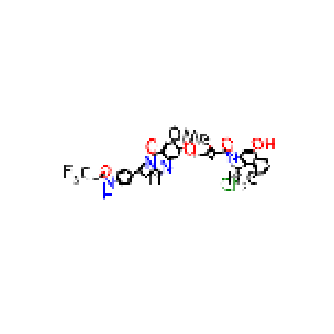 COc1cc2c(cc1OCC13CC(C(=O)N4C[C@@H](CCl)c5c4cc(O)c4cccc(C)c54)(C1)C3)N=C[C@@H]1CC(c3ccc(NC(=O)CC(F)(F)F)cc3)=CN1C2=O